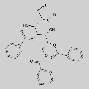 CCSC(SCC)[C@H](O)[C@@H](OC(=O)c1ccccc1)[C@H](O)[C@@H](COC(=O)c1ccccc1)OC(=O)c1ccccc1